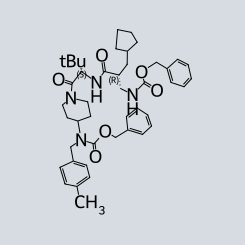 Cc1ccc(CN(C(=O)OCc2ccccc2)C2CCN(C(=O)[C@@H](NC(=O)[C@@H](CNC(=O)OCc3ccccc3)CC3CCCC3)C(C)(C)C)CC2)cc1